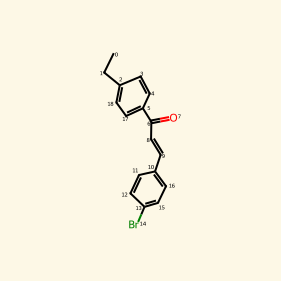 CCc1ccc(C(=O)/C=C/c2ccc(Br)cc2)cc1